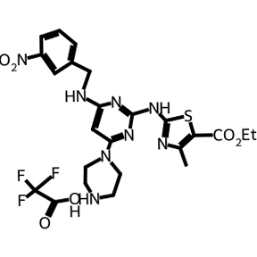 CCOC(=O)c1sc(Nc2nc(NCc3cccc([N+](=O)[O-])c3)cc(N3CCNCC3)n2)nc1C.O=C(O)C(F)(F)F